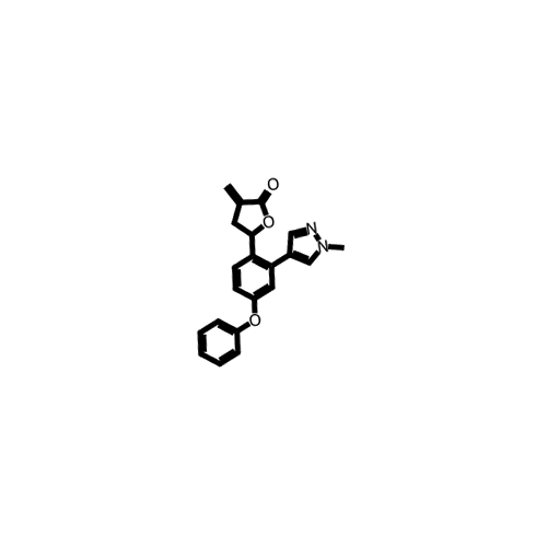 C=C1CC(c2ccc(Oc3ccccc3)cc2-c2cnn(C)c2)OC1=O